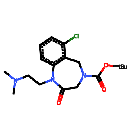 CN(C)CCN1C(=O)CN(C(=O)OC(C)(C)C)Cc2c(Cl)cccc21